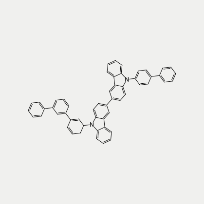 C1=CC(c2cccc(-c3ccccc3)c2)=CC(n2c3ccccc3c3cc(-c4ccc5c(c4)c4ccccc4n5-c4ccc(-c5ccccc5)cc4)ccc32)C1